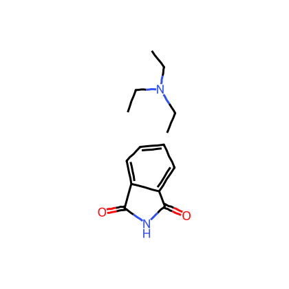 CCN(CC)CC.O=C1NC(=O)c2ccccc21